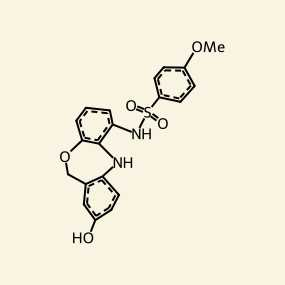 COc1ccc(S(=O)(=O)Nc2cccc3c2Nc2ccc(O)cc2CO3)cc1